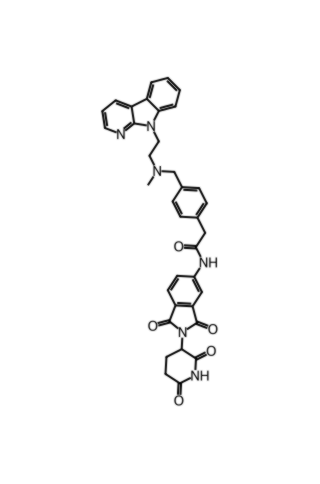 CN(CCn1c2ccccc2c2cccnc21)Cc1ccc(CC(=O)Nc2ccc3c(c2)C(=O)N(C2CCC(=O)NC2=O)C3=O)cc1